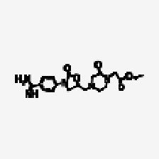 CCOC(=O)CN1CCN(CC2CN(c3ccc(C(=N)N)cc3)C(=O)O2)CC1=O